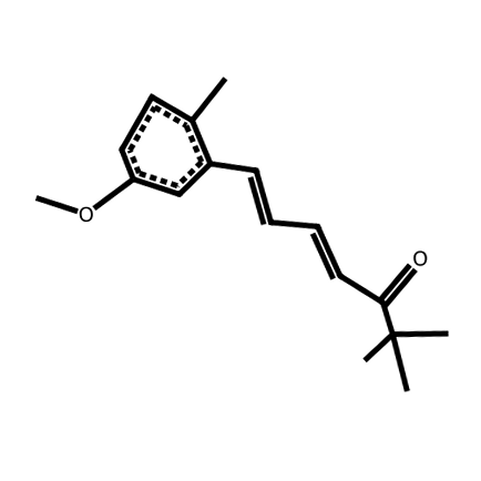 COc1ccc(C)c(/C=C/C=C/C(=O)C(C)(C)C)c1